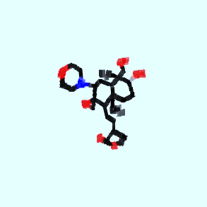 C[C@]12CC[C@@H](O)[C@@](C)(CO)C1CC(N1CCOCC1)C1(CO1)C2/C=C/C1=CCOC1=O